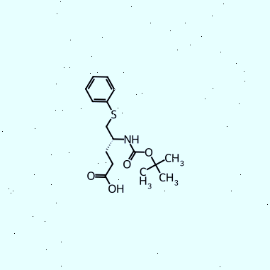 CC(C)(C)OC(=O)N[C@H](CCC(=O)O)CSc1ccccc1